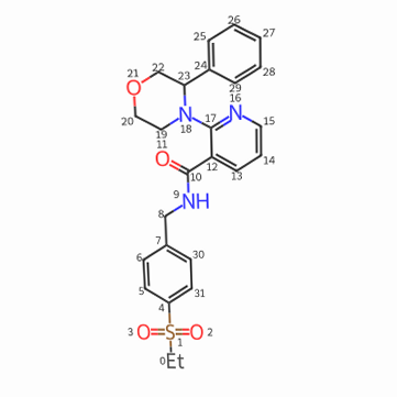 CCS(=O)(=O)c1ccc(CNC(=O)c2cccnc2N2CCOCC2c2ccccc2)cc1